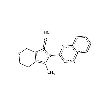 Cl.Cn1c2c(c(=O)n1-c1cnc3ccccc3n1)CNCC2